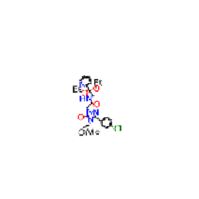 CCOC(CNC(=O)Cn1nc(-c2ccc(Cl)cc2)n(CCOC)c1=O)(OCC)c1ccccn1